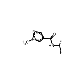 Cn1cc(C(=O)NC(F)F)cn1